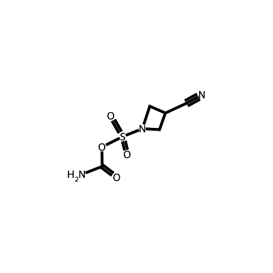 N#CC1CN(S(=O)(=O)OC(N)=O)C1